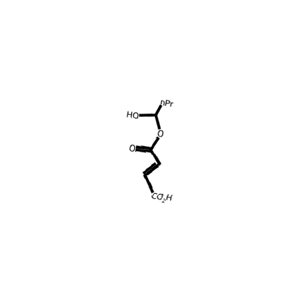 CCCC(O)OC(=O)C=CC(=O)O